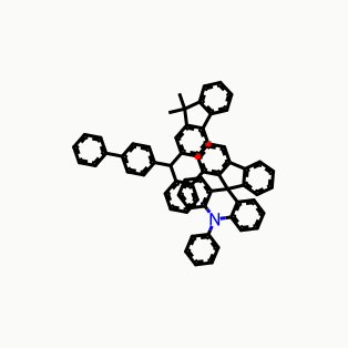 CC1(C)c2ccccc2-c2ccc(C(c3ccc(-c4ccccc4)cc3)c3ccccc3-c3cccc4c3C3(c5ccccc5-4)c4ccccc4N(c4ccccc4)c4ccccc43)cc21